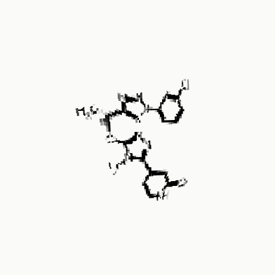 C[C@@H](Oc1nnc(-c2cc[nH]c(=O)c2)n1C)c1nnn(-c2cccc(Cl)c2)n1